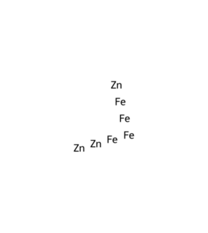 [Fe].[Fe].[Fe].[Fe].[Zn].[Zn].[Zn]